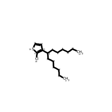 CCCCCCC(CCCCCC)c1ccsc1Cl